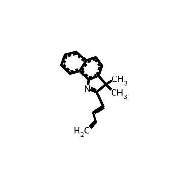 C=CC=CC1=Nc2c(ccc3ccccc23)C1(C)C